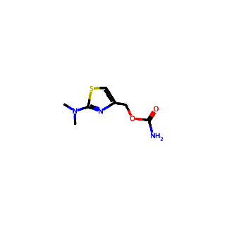 CN(C)c1nc(COC(N)=O)cs1